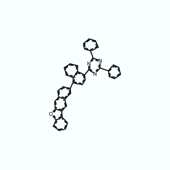 c1ccc(-c2nc(-c3ccccc3)nc(-c3ccc(-c4ccc5cc6oc7ccccc7c6cc5c4)c4ccccc34)n2)cc1